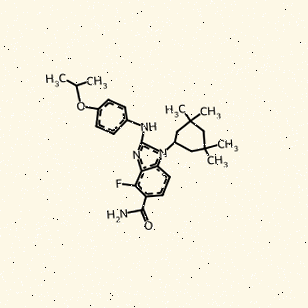 CC(C)Oc1ccc(Nc2nc3c(F)c(C(N)=O)ccc3n2C2CC(C)(C)CC(C)(C)C2)cc1